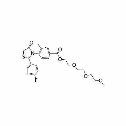 COCCOCCOCCOC(=O)c1ccc(N2C(=O)CSC2c2ccc(F)cc2)c(C)c1